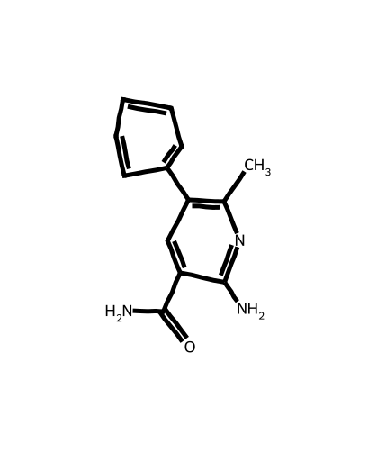 Cc1nc(N)c(C(N)=O)cc1-c1ccccc1